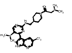 CN(C)CC(=O)N1CCC(CNc2ncc(N(C)C)c(-c3c[nH]c4ncc(C(F)(F)F)cc34)n2)CC1